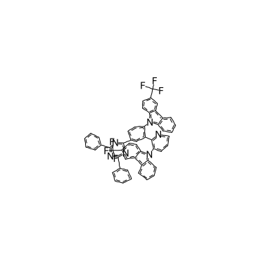 FC(F)(F)c1ccc2c(c1)c1ccccc1n2-c1ccc(-c2nc(-c3ccccc3)nc(-c3ccccc3)n2)cc1-c1ncccc1-n1c2ccccc2c2cc(C(F)(F)F)ccc21